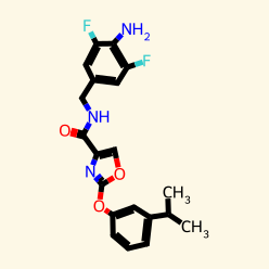 CC(C)c1cccc(Oc2nc(C(=O)NCc3cc(F)c(N)c(F)c3)co2)c1